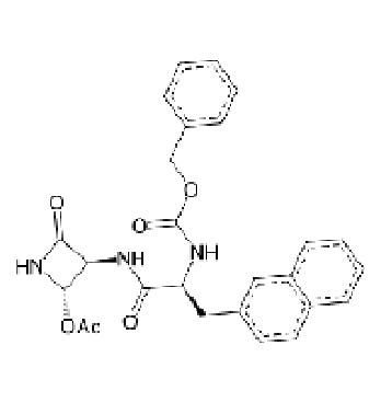 CC(=O)O[C@@H]1NC(=O)[C@H]1NC(=O)[C@H](Cc1ccc2ccccc2c1)NC(=O)OCc1ccccc1